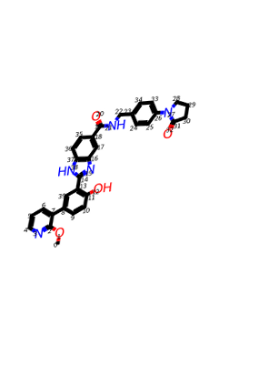 COc1ncccc1-c1ccc(O)c(-c2nc3cc(C(=O)NCc4ccc(N5CCCC5=O)cc4)ccc3[nH]2)c1